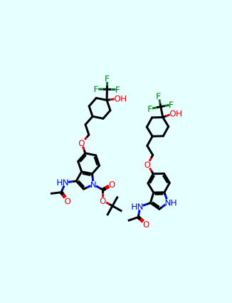 CC(=O)Nc1c[nH]c2ccc(OCCC3CCC(O)(C(F)(F)F)CC3)cc12.CC(=O)Nc1cn(C(=O)OC(C)(C)C)c2ccc(OCCC3CCC(O)(C(F)(F)F)CC3)cc12